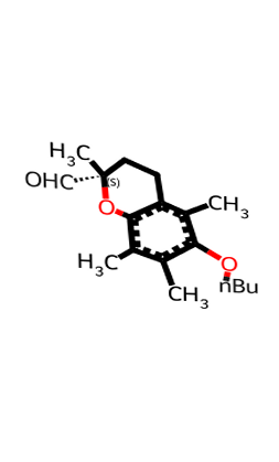 CCCCOc1c(C)c(C)c2c(c1C)CC[C@@](C)(C=O)O2